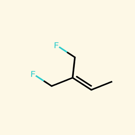 CC=C(CF)CF